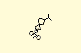 CC(C)C1CCC2(C1)CN(S(C)(=O)=O)C2